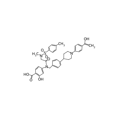 C=C(O)c1ccc(N2CCC(c3ccc(CN(C(=O)CN(C)S(=O)(=O)c4ccc(C)cc4)c4ccc(C(=O)O)c(O)c4)cc3)CC2)cc1